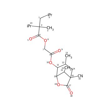 CC(C)CC(C)(C(=O)OCC(=O)OC1C(C)CC2(C#N)C(=O)OC1C2C)C(C)C